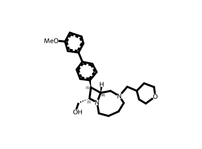 COc1cccc(-c2ccc([C@@H]3[C@@H](CO)N4CCCCN(CC5CCOCC5)C[C@@H]34)cc2)c1